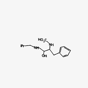 CC(C)CNCC(O)C(Cc1ccccc1)NC(=O)O